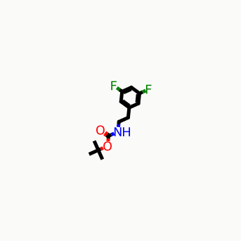 CC(C)(C)OC(=O)NCCc1cc(F)cc(F)c1